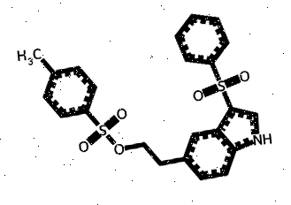 Cc1ccc(S(=O)(=O)OCCc2ccc3[nH]cc(S(=O)(=O)c4ccccc4)c3c2)cc1